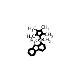 CC1=C(C)C(C)C([Si](C)(C)c2cccc3c2Cc2ccccc2-3)=C1C